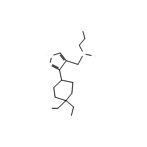 CNCCN(C)Cc1c[nH]nc1C1CCC(CF)(CF)CC1